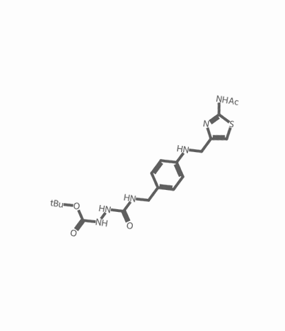 CC(=O)Nc1nc(CNc2ccc(CNC(=O)NNC(=O)OC(C)(C)C)cc2)cs1